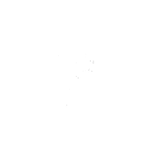 C=C/C=c1/c(N2CCOC(COC(C)=O)C2)n[nH]/c1=C/C